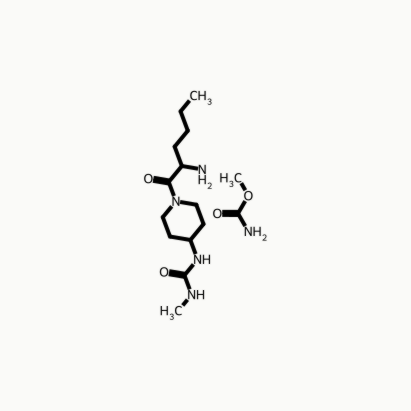 CCCCC(N)C(=O)N1CCC(NC(=O)NC)CC1.COC(N)=O